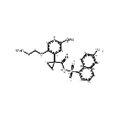 COCCOc1cnc(OC)cc1C1(C(=O)NS(=O)(=O)c2cccc3nc(C)ccc23)CC1